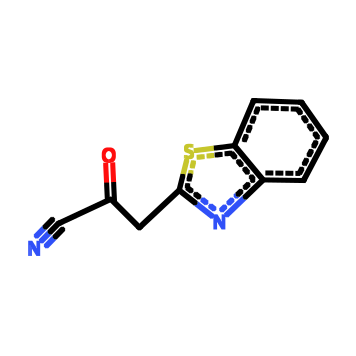 N#CC(=O)Cc1nc2ccccc2s1